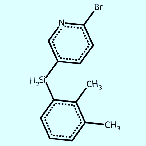 Cc1cccc([SiH2]c2ccc(Br)nc2)c1C